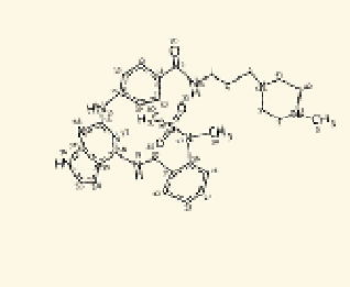 CN1CCN(CCCNC(=O)c2ccc(Nc3nc(NCc4ccccc4N(C)S(C)(=O)=O)c4cc[nH]c4n3)cc2)CC1